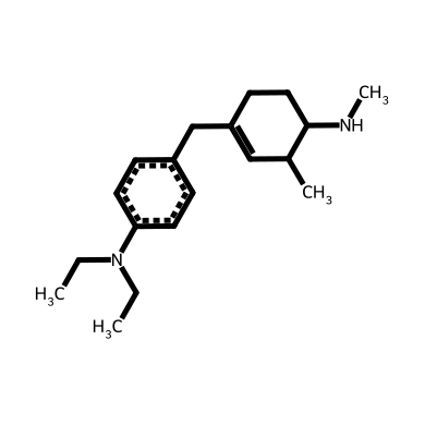 CCN(CC)c1ccc(CC2=CC(C)C(NC)CC2)cc1